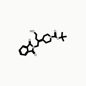 CC(C)(C)OC(=O)N1CCC(=C(CCO)CN2C(=O)c3ccccc3C2=O)CC1